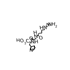 NN=CNCCCCC(=O)NCC(=O)NC(Cc1cccnc1)C(=O)O